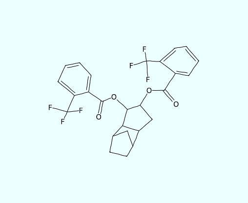 O=C(OC1CC2C3CCC(C3)C2C1OC(=O)c1ccccc1C(F)(F)F)c1ccccc1C(F)(F)F